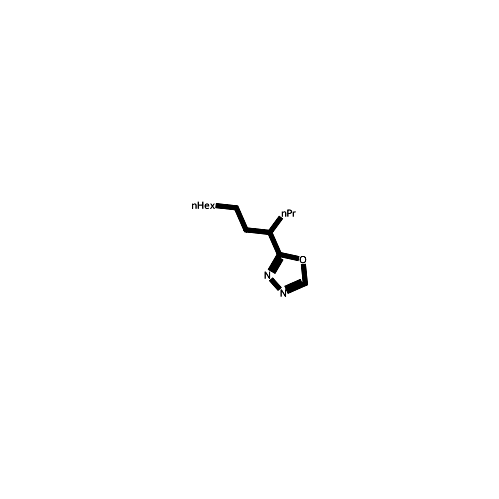 CCCCCCCCC(CCC)c1nnco1